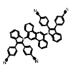 N#Cc1ccc(-c2c(-c3ccc(C#N)cc3)n(-c3cc4c5ccccc5c(-n5c(-c6ccc(C#N)cc6)c(-c6ccc(C#N)cc6)c6ccccc65)cc4c4ccccc34)c3ccccc23)cc1